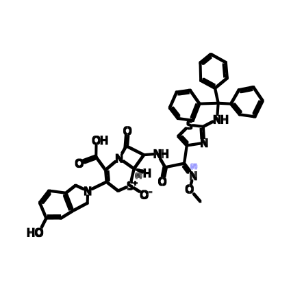 CO/N=C(\C(=O)NC1C(=O)N2C(C(=O)O)=C(N3Cc4ccc(O)cc4C3)C[S+]([O-])[C@@H]12)c1csc(NC(c2ccccc2)(c2ccccc2)c2ccccc2)n1